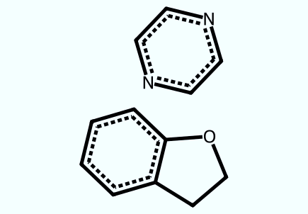 c1ccc2c(c1)CCO2.c1cnccn1